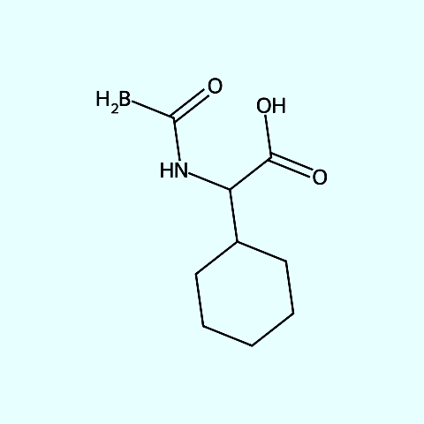 BC(=O)NC(C(=O)O)C1CCCCC1